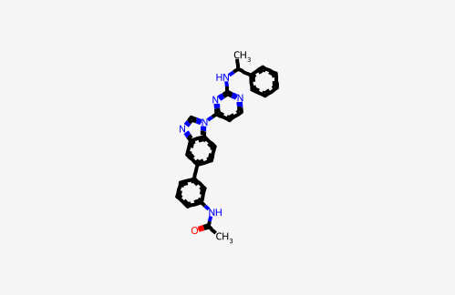 CC(=O)Nc1cccc(-c2ccc3c(c2)ncn3-c2ccnc(NC(C)c3ccccc3)n2)c1